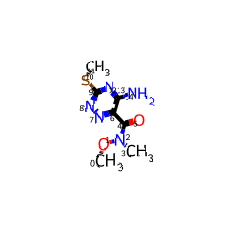 CON(C)C(=O)c1nnc(SC)nc1N